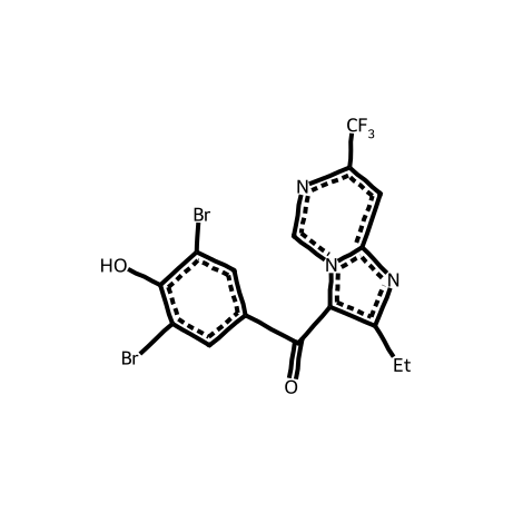 CCc1nc2cc(C(F)(F)F)ncn2c1C(=O)c1cc(Br)c(O)c(Br)c1